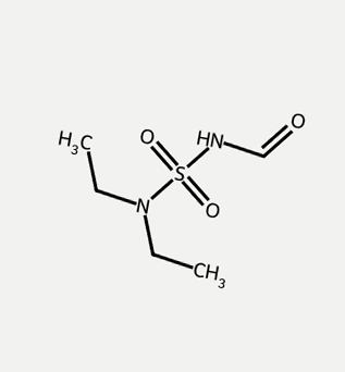 CCN(CC)S(=O)(=O)NC=O